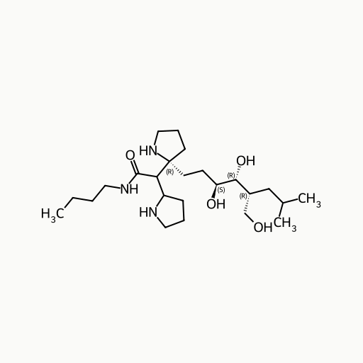 CCCCNC(=O)C(C1CCCN1)[C@]1(CC[C@H](O)[C@H](O)[C@@H](CO)CC(C)C)CCCN1